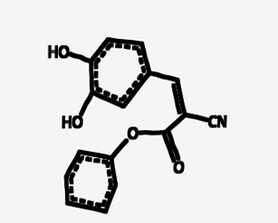 N#CC(=Cc1ccc(O)c(O)c1)C(=O)Oc1ccccc1